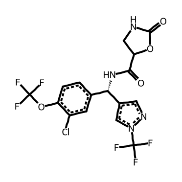 O=C1NCC(C(=O)N[C@@H](c2ccc(OC(F)(F)F)c(Cl)c2)c2cnn(C(F)(F)F)c2)O1